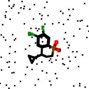 O=S1(=O)CCC(C2CC2)c2cc(Br)c(F)cc21